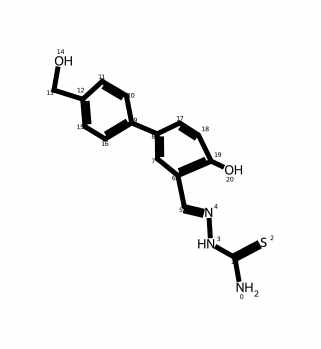 NC(=S)N/N=C/c1cc(-c2ccc(CO)cc2)ccc1O